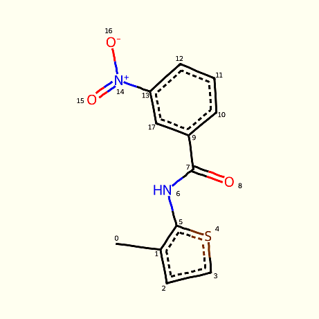 Cc1ccsc1NC(=O)c1cccc([N+](=O)[O-])c1